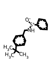 CC(C)(C)c1ccc(CN[S+]([O-])c2ccccc2)cc1